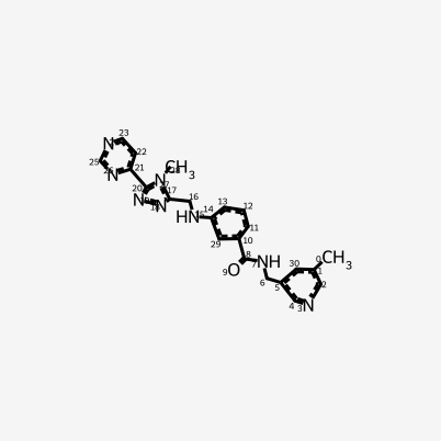 Cc1cncc(CNC(=O)c2cccc(NCc3nnc(-c4ccncn4)n3C)c2)c1